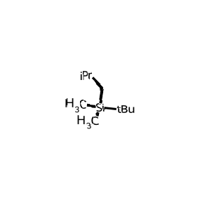 CC(C)C[Si](C)(C)C(C)(C)C